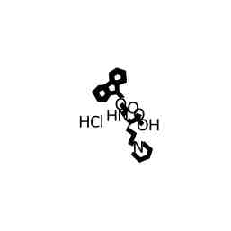 Cl.O=C(N[C@H](CCCN1CCCCC1)C(=O)O)OCC1c2ccccc2-c2ccccc21